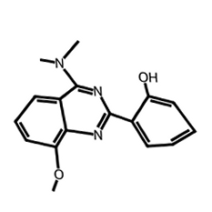 COc1cccc2c(N(C)C)nc(-c3ccccc3O)nc12